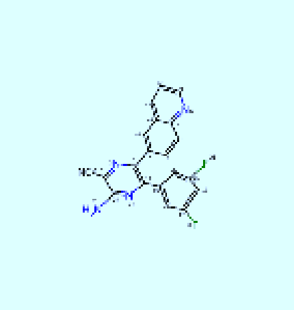 N#Cc1nc(-c2ccc3ncccc3c2)c(-c2cc(F)cc(F)c2)nc1N